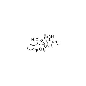 C[C@H]([C@@H](C)c1ccccc1F)S(=O)(=O)C(C)(C)C(=N)N